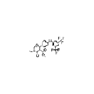 CCC1COC(c2ccc(Oc3cc(C(F)(F)F)cc(C(F)(F)F)c3)cc2)=C(C(=O)OC)C1=O